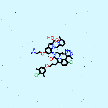 Cc1cccc(Cn2c(C(=O)O)cc3cc(OCCN(C)C)cc(N4CC(C)n5c(c(CCCOc6cc(C)c(Cl)c(C)c6)c6ccc(Cl)c(-c7c(C)ncnc7C)c65)C4=O)c32)n1